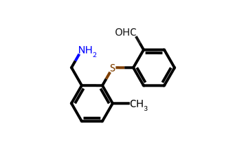 Cc1cccc(CN)c1Sc1ccccc1C=O